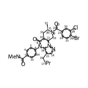 CNC(=O)c1ccc(-n2c(=O)c3c(n4ncc(CC(C)C)c24)CN(C(=O)c2ccc(Br)c(Cl)c2)[C@H](C)C3)cc1